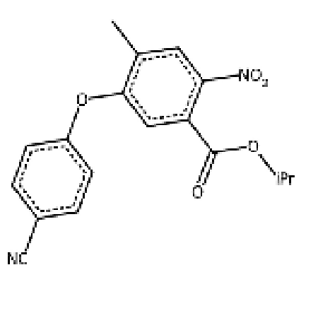 Cc1cc([N+](=O)[O-])c(C(=O)OC(C)C)cc1Oc1ccc(C#N)cc1